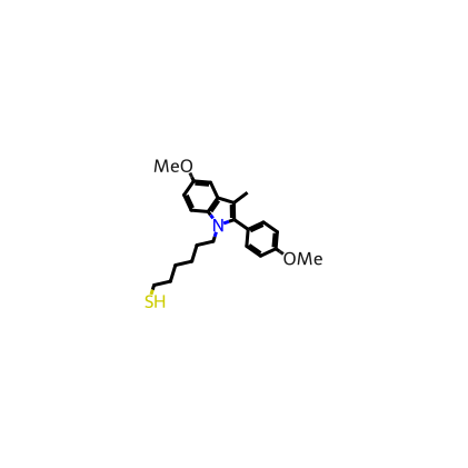 COc1ccc(-c2c(C)c3cc(OC)ccc3n2CCCCCCS)cc1